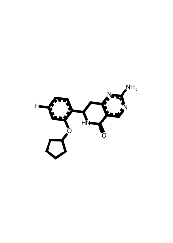 Nc1ncc2c(n1)CC(c1ccc(F)cc1OC1CCCC1)NC2=O